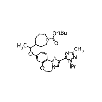 Cc1nc(-c2cn3c(n2)-c2ccc(OC(C)C4CCCN(C(=O)OC(C)(C)C)CC4)cc2OCC3)n(C(C)C)n1